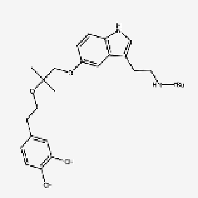 CC(C)(C)NCCc1c[nH]c2ccc(OCC(C)(C)OCCc3ccc(O)c(O)c3)cc12